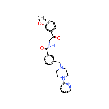 COc1cccc(C(=O)CNC(=O)c2cccc(CN3CCN(c4ccccn4)CC3)c2)c1